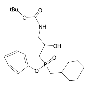 CC(C)(C)OC(=O)NCC(O)CP(=O)(CC1CCCCC1)Oc1ccccc1